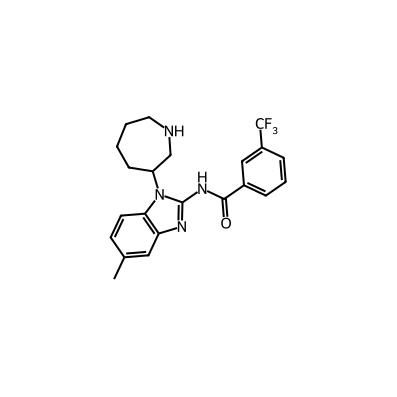 Cc1ccc2c(c1)nc(NC(=O)c1cccc(C(F)(F)F)c1)n2C1CCCCNC1